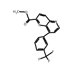 COC(=O)c1ccc2nccc(-c3cccc(C(F)(F)F)c3)c2n1